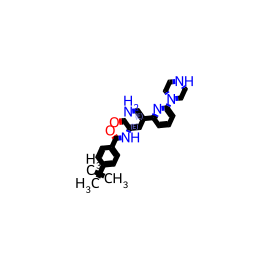 CC(C)(C)c1ccc(C(=O)N/C(C=O)=C/C(=C\N)c2cccc(N3CCNCC3)n2)cc1